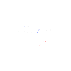 CCCN(Cc1ccc(Cl)nc1)NC=C[N+](=O)[O-]